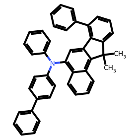 CC1(C)c2cccc(-c3ccccc3)c2-c2cc(N(c3ccccc3)c3ccc(-c4ccccc4)cc3)c3ccccc3c21